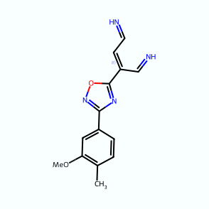 COc1cc(-c2noc(/C(C=N)=C/C=N)n2)ccc1C